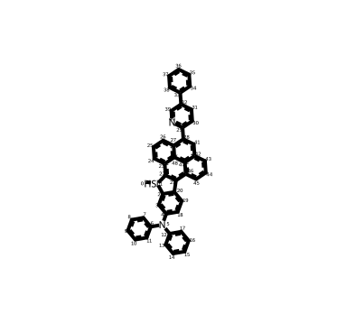 C[SiH]1c2cc(N(c3ccccc3)c3ccccc3)ccc2-c2c1c1cccc3c(-c4ccc(-c5ccccc5)cn4)cc4cccc2c4c31